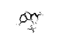 CC(Cl)=Cc1[te]c2ccc(C)cc2[n+]1C.F[B-](F)(F)F